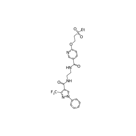 CCS(=O)(=O)CCOc1ccc(C(=O)NCCNC(=O)c2cn(-c3ccccc3)nc2C(F)(F)F)cn1